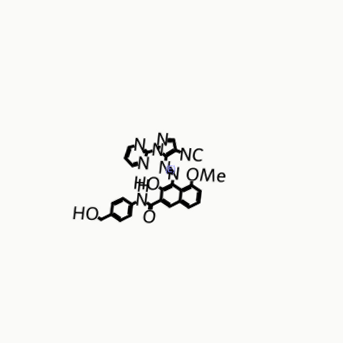 [C-]#[N+]c1cnn(-c2ncccn2)c1/N=N/c1c(O)c(C(=O)Nc2ccc(CO)cc2)cc2cccc(OC)c12